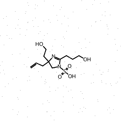 C=CCC1(CCO)CN(S(=O)(=O)O)C(CCCO)=N1